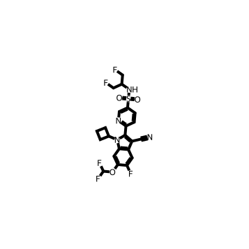 N#Cc1c(-c2ccc(S(=O)(=O)NC(CF)CF)cn2)n(C2CCC2)c2cc(OC(F)F)c(F)cc12